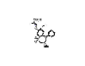 CCCC[C@H]1CN(c2ccccc2)c2cc(SCC)c(O/C=C(\F)C(=O)O)cc2S(=O)(=O)C1